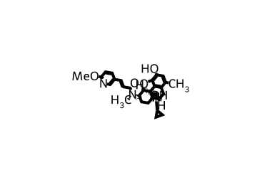 COc1ccc(C=CC(=O)N(C)[C@H]2CC[C@@]3(O)[C@H]4Cc5c(C)cc(O)c6c5[C@@]3(CCN4C3CC3)[C@H]2O6)cn1